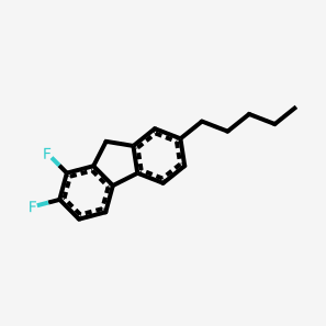 CCCCCc1ccc2c(c1)Cc1c-2ccc(F)c1F